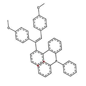 COc1ccc(/C=C(\c2ccc(OC)cc2)c2ccccc2-c2ccccc2P(c2ccccc2)c2ccccc2)cc1